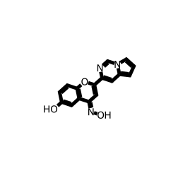 ON=c1cc(-c2cc3cccn3cn2)oc2ccc(O)cc12